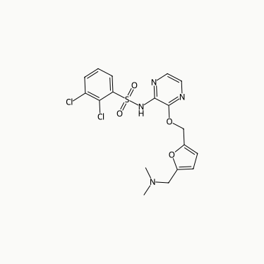 CN(C)Cc1ccc(COc2nccnc2NS(=O)(=O)c2cccc(Cl)c2Cl)o1